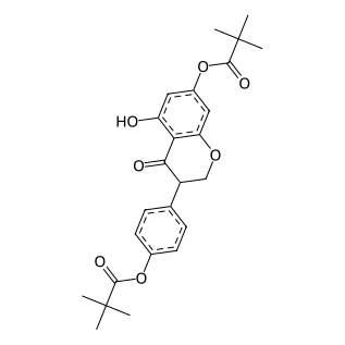 CC(C)(C)C(=O)Oc1ccc(C2COc3cc(OC(=O)C(C)(C)C)cc(O)c3C2=O)cc1